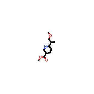 C=C(COC)c1ccc(C(=O)OC)cn1